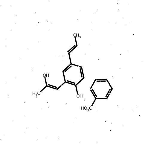 CC=Cc1ccc(O)c(C=C(C)O)c1.O=C(O)c1ccccc1